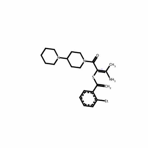 C=C(S/C(C(=O)N1CCC(N2CCCCC2)CC1)=C(/C)N)c1ccccc1CC